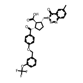 Cc1ccc2nnn(C[C@@H]3CC[C@H](C(=O)c4ccc(OCc5cccc(OC(F)(F)F)c5)cc4)[C@H]3C(=O)O)c(=O)c2c1